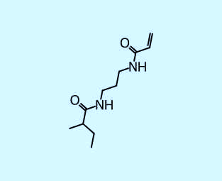 C=CC(=O)NCCCNC(=O)C(C)CC